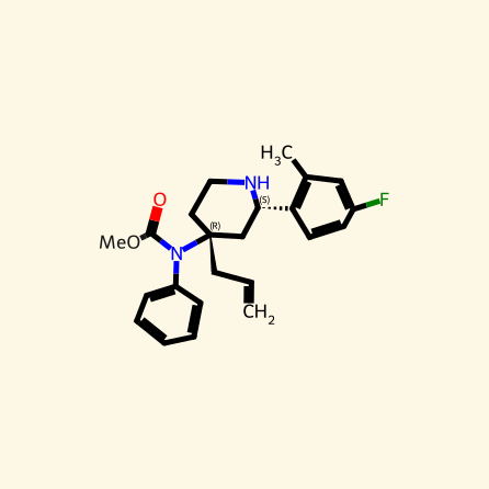 C=CC[C@@]1(N(C(=O)OC)c2ccccc2)CCN[C@H](c2ccc(F)cc2C)C1